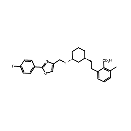 Cc1cccc(CC[C@@H]2CCC[C@@H](OCc3coc(-c4ccc(F)cc4)n3)C2)c1C(=O)O